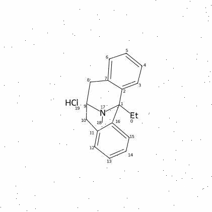 CCC12c3ccccc3CC(Cc3ccccc31)N2C.Cl